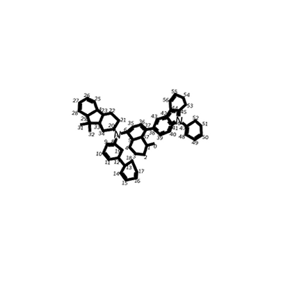 CC1CCCC2C(N(C3=CC=CC(C4C=CC=CC4)C3)C3CCC4C5C=CC=CC5C(C)(C)C4C3)=CC=C(c3ccc4c(c3)c3c(n4C4=CC=CCC4)CCC=C3)C12